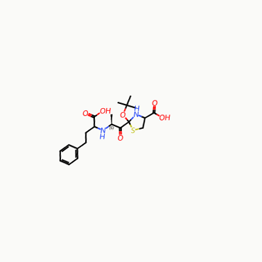 C[C@H](NC(CCc1ccccc1)C(=O)O)C(=O)C1(OC(C)(C)C)NC(C(=O)O)CS1